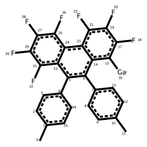 Cc1ccc(-c2c(-c3ccc(C)cc3)c3[c]([Ga])c(F)c(F)c(F)c3c3c(F)c(F)c(F)c(F)c23)cc1